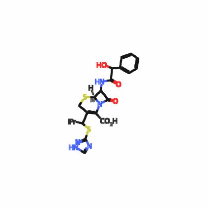 CC(C)C(Sc1nc[nH]n1)C1=C(C(=O)O)N2C(=O)C(NC(=O)C(O)c3ccccc3)[C@@H]2SC1